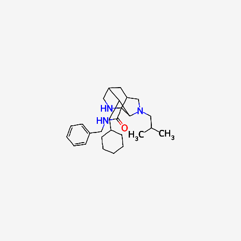 CC(C)CN1CC2CC3CNC2(C(=O)NCc2ccccc2)C1C3CC1CCCCC1